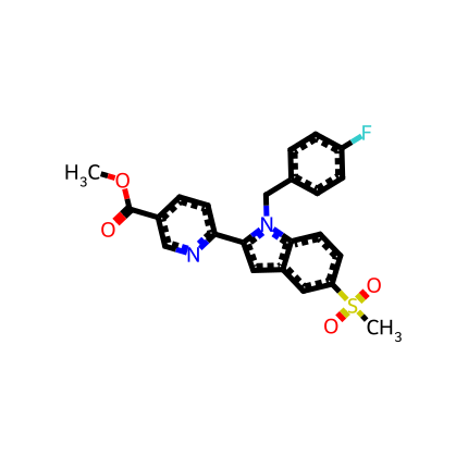 COC(=O)c1ccc(-c2cc3cc(S(C)(=O)=O)ccc3n2Cc2ccc(F)cc2)nc1